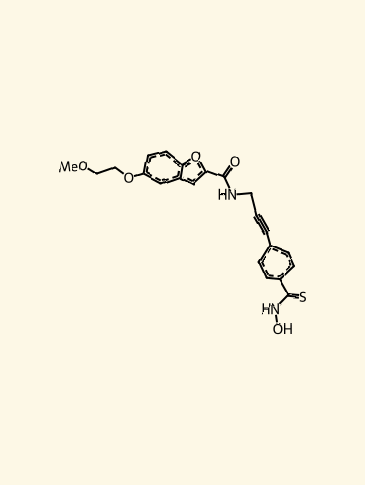 COCCOc1ccc2oc(C(=O)NCC#Cc3ccc(C(=S)NO)cc3)cc2c1